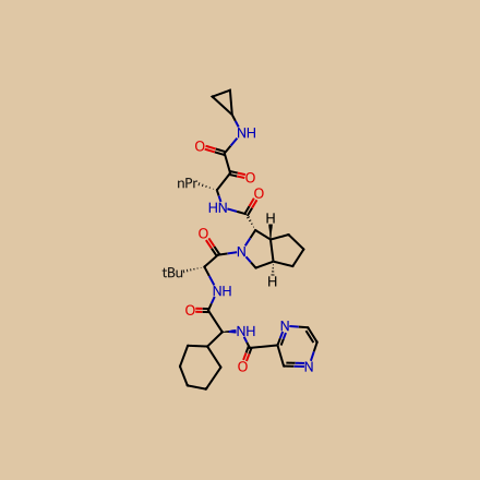 CCC[C@@H](NC(=O)[C@@H]1[C@@H]2CCC[C@H]2CN1C(=O)[C@H](NC(=O)[C@@H](NC(=O)c1cnccn1)C1CCCCC1)C(C)(C)C)C(=O)C(=O)NC1CC1